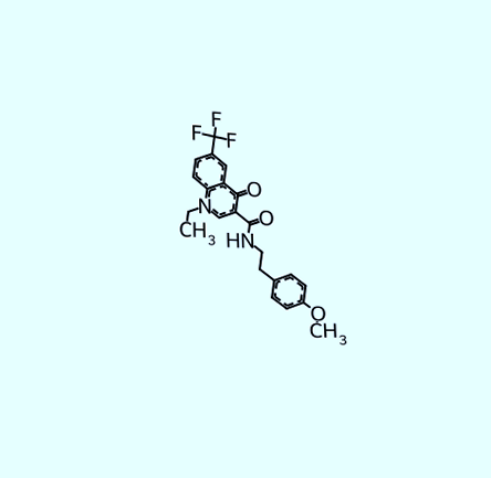 CCn1cc(C(=O)NCCc2ccc(OC)cc2)c(=O)c2cc(C(F)(F)F)ccc21